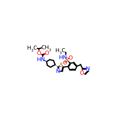 CCNS(=O)(=O)c1cc(Cc2ncco2)ccc1-c1cnc([C@H]2CC[C@H](NC(=O)OC(C)C)CC2)s1